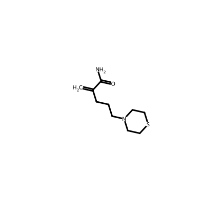 C=C(CCCN1CCSCC1)C(N)=O